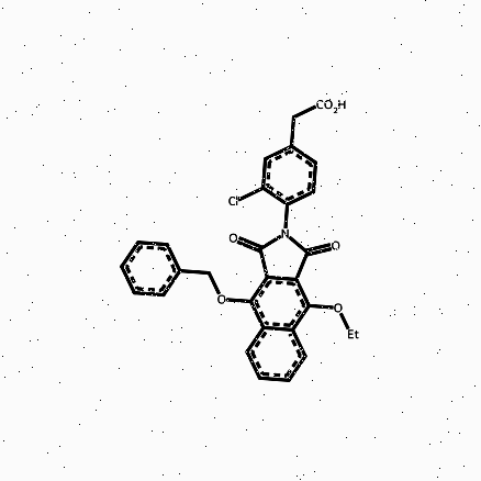 CCOc1c2c(c(OCc3ccccc3)c3ccccc13)C(=O)N(c1ccc(CC(=O)O)cc1Cl)C2=O